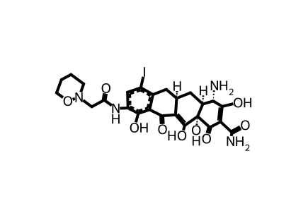 NC(=O)C1=C(O)[C@@H](N)[C@@H]2C[C@@H]3Cc4c(I)cc(NC(=O)CN5CCCCO5)c(O)c4C(=O)C3=C(O)[C@]2(O)C1=O